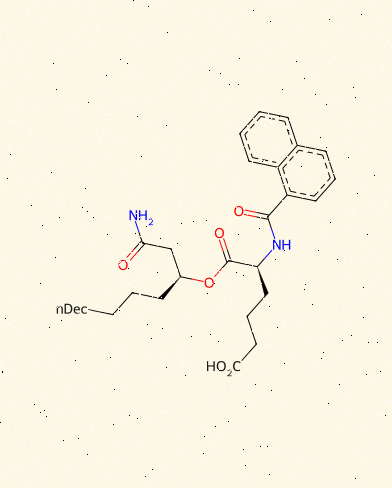 CCCCCCCCCCCCC[C@@H](CC(N)=O)OC(=O)[C@H](CCCC(=O)O)NC(=O)c1cccc2ccccc12